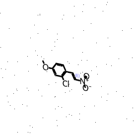 COc1ccc(/C=C/[N+](=O)[O-])c(Cl)c1